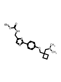 CN(C)CC1(COc2ccc(-c3ncc(CNC(=O)OC(C)(C)C)s3)cc2)CCC1